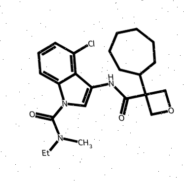 CCN(C)C(=O)n1cc(NC(=O)C2(C3CCCCCC3)COC2)c2c(Cl)cccc21